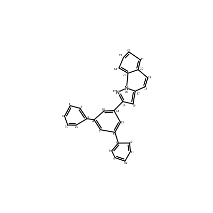 c1ccc(-c2cc(-c3ccccc3)cc(-c3cc4ccc5ccccc5n4n3)c2)cc1